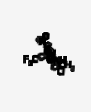 Cc1c(Cl)cccc1NC(=O)CN(Cc1ccc(N2CCCC2=O)cn1)S(=O)(=O)c1ccc(C(F)(F)F)cc1